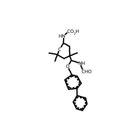 CC1(C)CC(NC(=O)O)CC(C)(C(NC=O)Oc2ccc(-c3ccccc3)cc2)C1